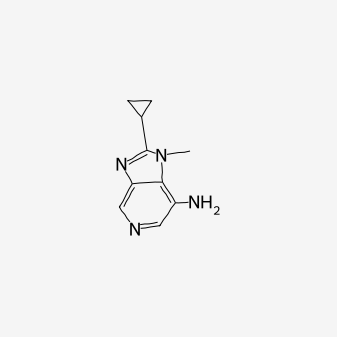 Cn1c(C2CC2)nc2cncc(N)c21